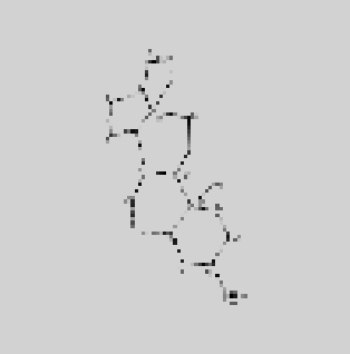 CCCCCCC1CCC2C3CCC4CC(N)CCC4(C)C3CCC12C